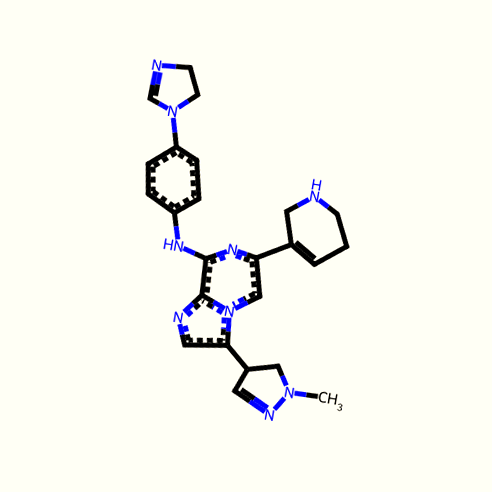 CN1CC(c2cnc3c(Nc4ccc(N5C=NCC5)cc4)nc(C4=CCCNC4)cn23)C=N1